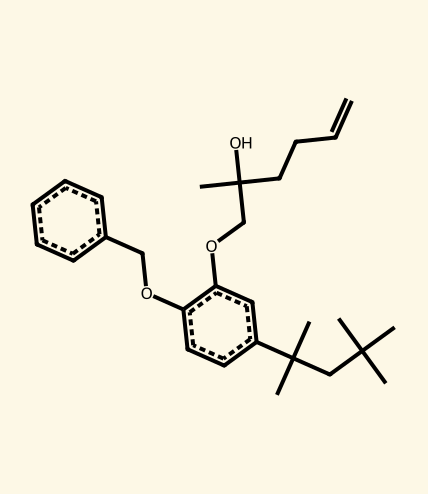 C=CCCC(C)(O)COc1cc(C(C)(C)CC(C)(C)C)ccc1OCc1ccccc1